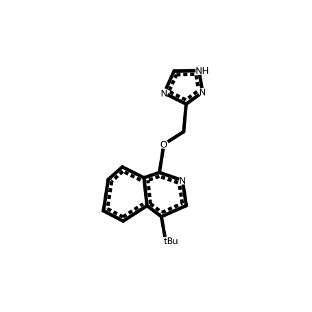 CC(C)(C)c1cnc(OCc2nc[nH]n2)c2ccccc12